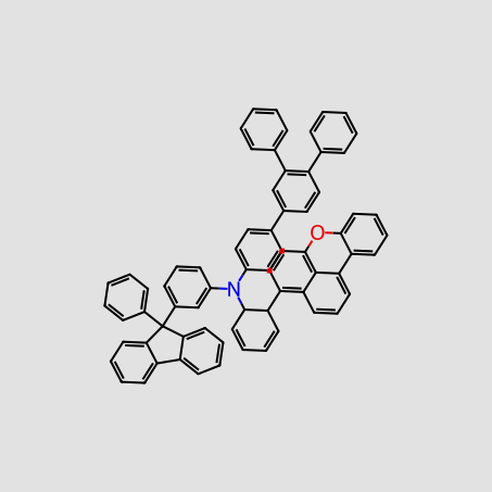 C1=CC(c2ccc3c4c(cccc24)-c2ccccc2O3)C(N(c2ccc(-c3ccc(-c4ccccc4)c(-c4ccccc4)c3)cc2)c2cccc(C3(c4ccccc4)c4ccccc4-c4ccccc43)c2)C=C1